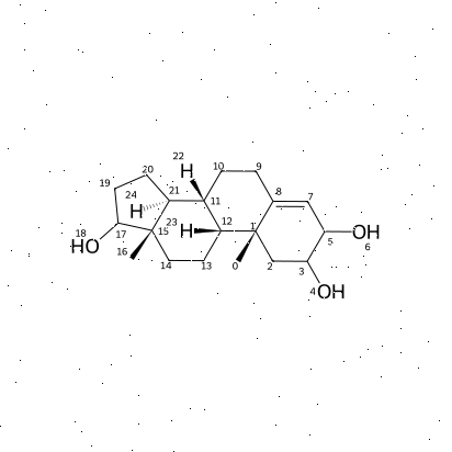 C[C@]12CC(O)C(O)C=C1CC[C@@H]1[C@H]2CC[C@]2(C)C(O)CC[C@@H]12